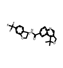 CC1(C)OCc2cnc3ccc(C(=O)N[C@@H]4COc5cc(C(F)(F)F)ccc54)cc3c21